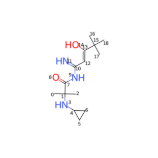 CC(C)(NC1CC1)C(=O)NC(=N)/C=C(\O)C(C)(C)C